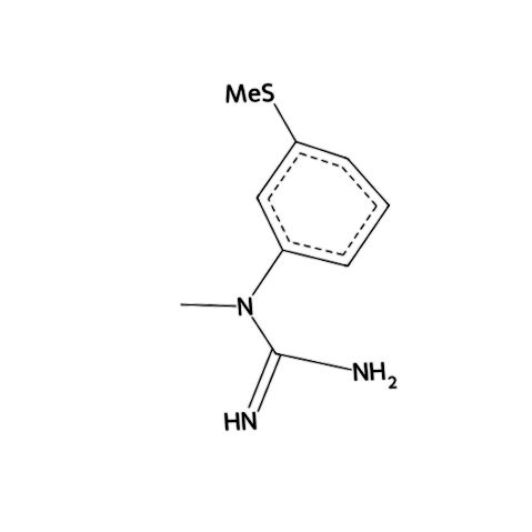 CSc1cccc(N(C)C(=N)N)c1